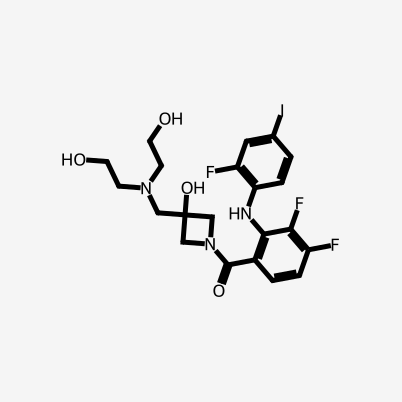 O=C(c1ccc(F)c(F)c1Nc1ccc(I)cc1F)N1CC(O)(CN(CCO)CCO)C1